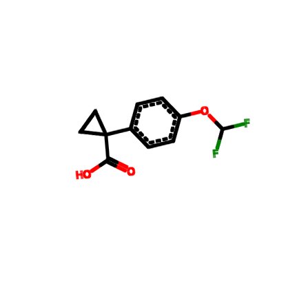 O=C(O)C1(c2ccc(OC(F)F)cc2)CC1